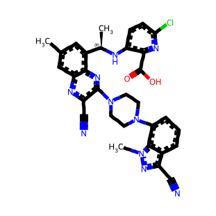 Cc1cc([C@@H](C)Nc2ccc(Cl)nc2C(=O)O)c2nc(N3CCN(c4cccc5c(C#N)nn(C)c45)CC3)c(C#N)nc2c1